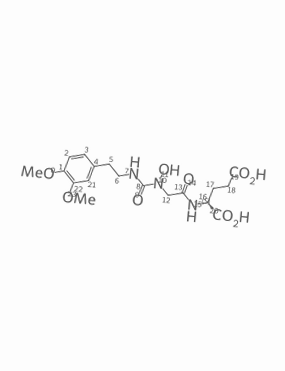 COc1ccc(CCNC(=O)N(O)CC(=O)N[C@@H](CCC(=O)O)C(=O)O)cc1OC